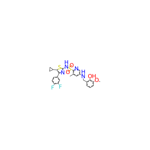 COc1cccc(CNc2cnc(S(=O)(=O)Nc3nc(-c4ccc(F)c(F)c4)c(C4CC4)s3)c(C)c2)c1O